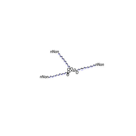 CCCCCCCCC/C=C/C=C/C=C/C=C/C=C/C=C/C(=O)OCC(COC(=O)/C=C/C=C/C=C/C=C/C=C/C=C/CCCCCCCCC)OC(=O)/C=C/C=C/C=C/C=C/C=C/C=C/CCCCCCCCC